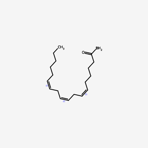 BC(=O)CCCC/C=C\C/C=C\C/C=C\CCCCC